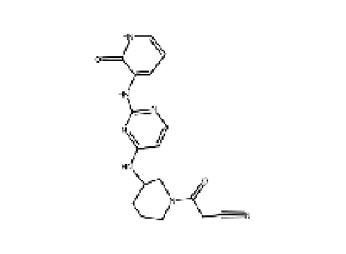 N#CCC(=O)N1CCCC(Nc2ccnc(Nc3ccc[nH]c3=O)n2)C1